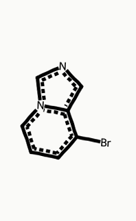 Brc1cccn2cncc12